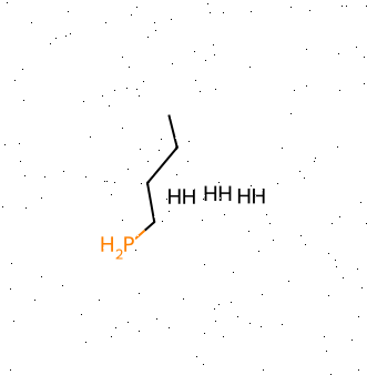 CCCCP.[HH].[HH].[HH]